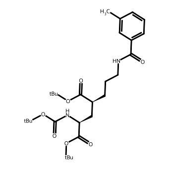 Cc1cccc(C(=O)NCCC[C@@H](C[C@H](NC(=O)OC(C)(C)C)C(=O)OC(C)(C)C)C(=O)OC(C)(C)C)c1